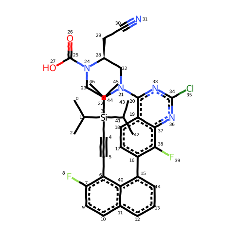 CC(C)[Si](C#Cc1c(F)ccc2cccc(-c3ccc4c(N5CCN(C(=O)O)[C@@H](CC#N)C5)nc(Cl)nc4c3F)c12)(C(C)C)C(C)C